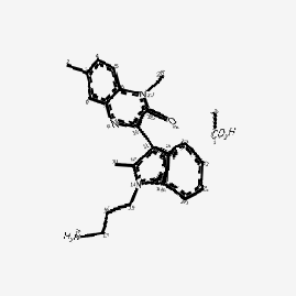 CC(=O)O.Cc1ccc2c(c1)nc(-c1c(C)n(CCCN)c3ccccc13)c(=O)n2C